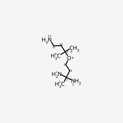 CC(N)(N)CCOC(C)(C)CCN